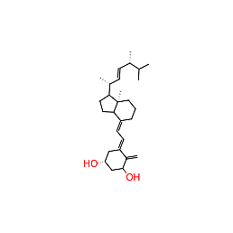 C=C1/C(=C/C=C2\CCC[C@@]3(C)C2CCC3[C@H](C)/C=C/[C@H](C)C(C)C)C[C@@H](O)CC1O